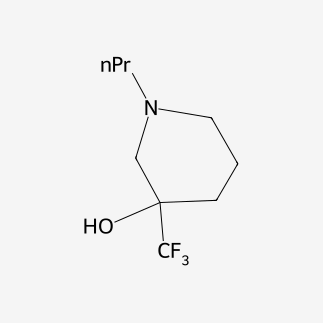 CCCN1CCCC(O)(C(F)(F)F)C1